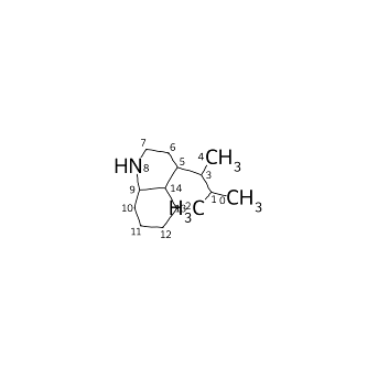 CC(C)C(C)C1CCNC2CCCCC21